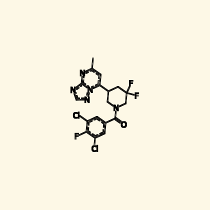 Cc1cc(C2CN(C(=O)c3cc(Cl)c(F)c(Cl)c3)CC(F)(F)C2)n2ncnc2n1